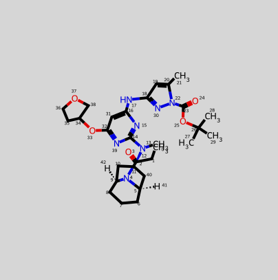 CCC(=O)N1[C@@H]2CCC[C@H]1C[C@@H](N(C)c1nc(Nc3cc(C)n(C(=O)OC(C)(C)C)n3)cc(OC3CCOC3)n1)C2